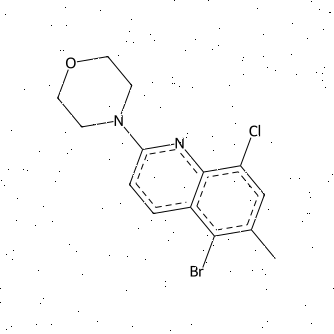 Cc1cc(Cl)c2nc(N3CCOCC3)ccc2c1Br